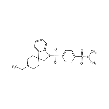 CN(C)S(=O)(=O)c1ccc(S(=O)(=O)N2CC3(CCN(CC(F)(F)F)CC3)c3ccccc32)cc1